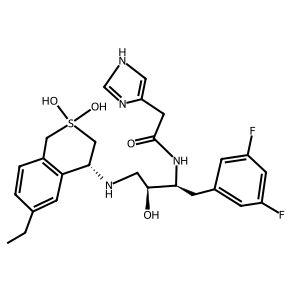 CCc1ccc2c(c1)[C@@H](NC[C@H](O)[C@H](Cc1cc(F)cc(F)c1)NC(=O)Cc1c[nH]cn1)CS(O)(O)C2